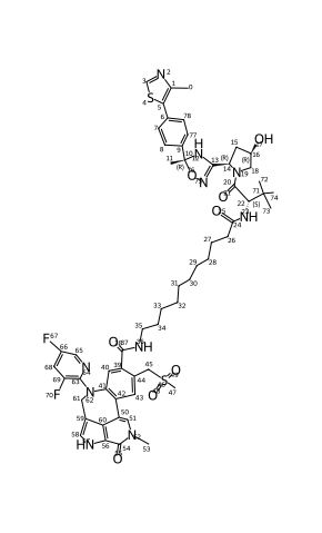 Cc1ncsc1-c1ccc([C@]2(C)NC([C@H]3C[C@@H](O)CN3C(=O)[C@@H](NC(=O)CCCCCCCCCCNC(=O)c3cc4c(cc3CS(C)(=O)=O)-c3cn(C)c(=O)c5[nH]cc(c35)CN4c3ncc(F)cc3F)C(C)(C)C)=NO2)cc1